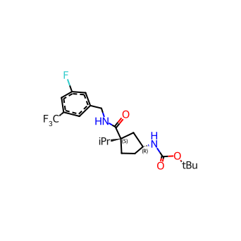 CC(C)[C@]1(C(=O)NCc2cc(F)cc(C(F)(F)F)c2)CC[C@@H](NC(=O)OC(C)(C)C)C1